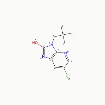 CC(C)(C)Cn1c(O)nc2cc(Cl)cnc21